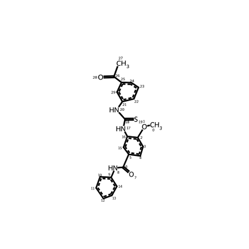 COc1ccc(C(=O)Nc2ccccc2)cc1NC(=S)Nc1cccc(C(C)=O)c1